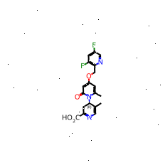 CC1=CN=C(C(=O)O)C[C@H]1n1c(C)cc(OCc2ncc(F)cc2F)cc1=O